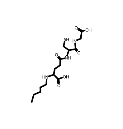 CCCCCNC(CCC(=O)NC(CS)C(=O)NCC(=O)O)C(=O)O